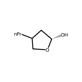 CCCC1CO[C@@H](O)C1